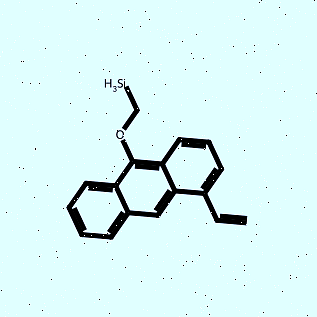 C=Cc1cccc2c(OC[SiH3])c3ccccc3cc12